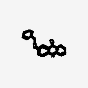 O=c1c2cc(OCc3ccccc3)ccc2nc2ccccn12